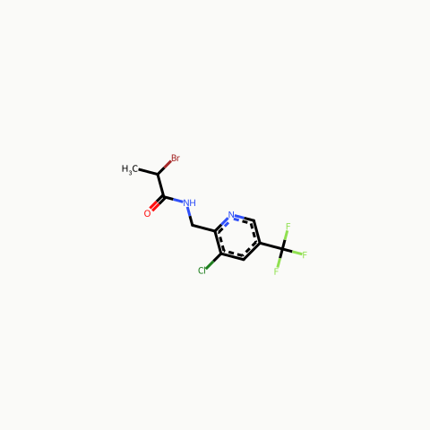 CC(Br)C(=O)NCc1ncc(C(F)(F)F)cc1Cl